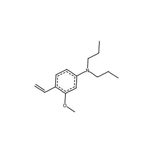 C=Cc1ccc(N(CCC)CCC)cc1OC